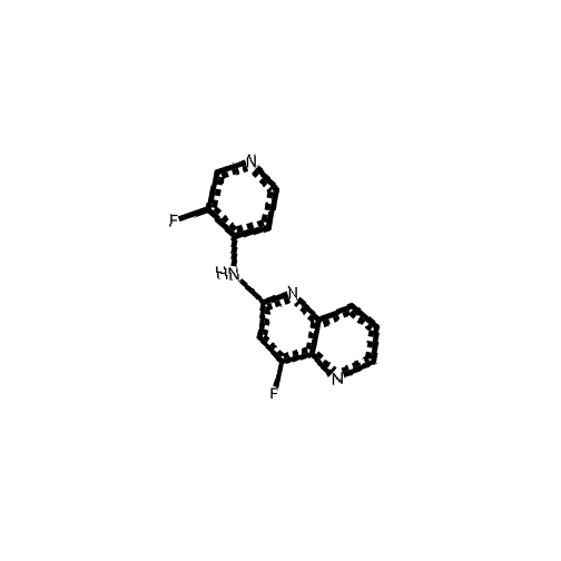 Fc1cnccc1Nc1cc(F)c2ncccc2n1